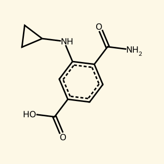 NC(=O)c1ccc(C(=O)O)cc1NC1CC1